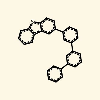 c1ccc(-c2cccc(-c3cccc(-c4ccc5sc6ccccc6c5c4)c3)c2)cc1